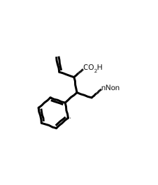 C=CC(C(=O)O)C(CCCCCCCCCC)c1[c]cccc1